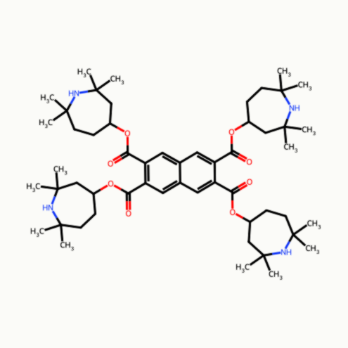 CC1(C)CCC(OC(=O)c2cc3cc(C(=O)OC4CCC(C)(C)NC(C)(C)C4)c(C(=O)OC4CCC(C)(C)NC(C)(C)C4)cc3cc2C(=O)OC2CCC(C)(C)NC(C)(C)C2)CC(C)(C)N1